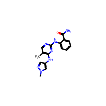 Cn1cc(Nc2nc(Nc3ccccc3C(N)=O)ncc2C(F)(F)F)cn1